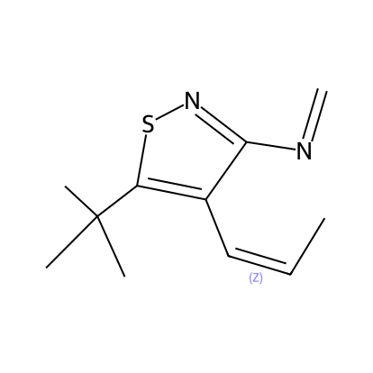 C=Nc1nsc(C(C)(C)C)c1/C=C\C